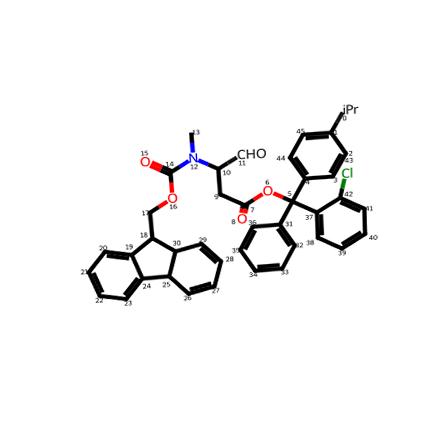 CC(C)c1ccc(C(OC(=O)CC(C=O)N(C)C(=O)OCC2c3ccccc3C3C=CC=CC32)(c2ccccc2)c2ccccc2Cl)cc1